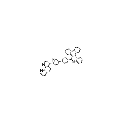 c1cnc2c(c1)ccc1c(-c3ccc(-c4ccc(-c5nc6ccccc6c6c7ccccc7c7ccccc7c56)cc4)cn3)ccnc12